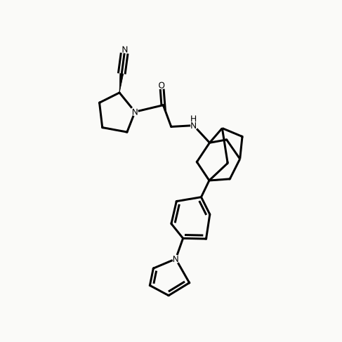 N#C[C@@H]1CCCN1C(=O)CNC12CC3CC1CC(c1ccc(-n4cccc4)cc1)(C3)C2